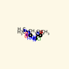 COc1cccc2c(-c3nc(Nc4ccc(N(C)CCN(C)C)c([N+](=O)[O-])c4)ncc3Cl)cn(C)c12